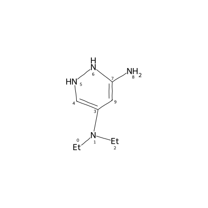 CCN(CC)C1=CNNC(N)=C1